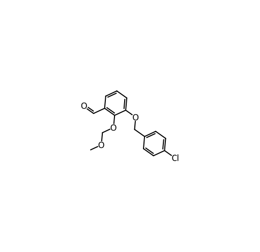 COCOc1c(C=O)cccc1OCc1ccc(Cl)cc1